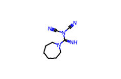 N#CN(C#N)C(=N)N1CCCCCC1